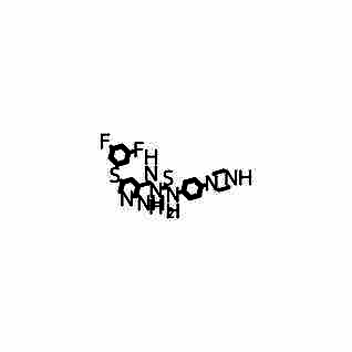 N=C(NC(=S)Nc1ccc(N2CCNCC2)cc1)c1cc(Sc2cc(F)cc(F)c2)cnc1N